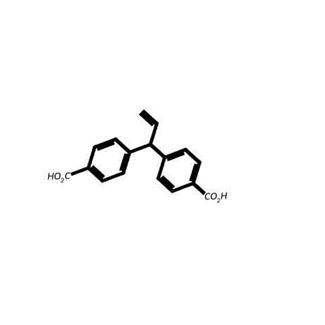 C=CC(c1ccc(C(=O)O)cc1)c1ccc(C(=O)O)cc1